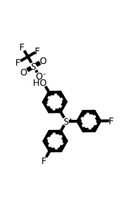 O=S(=O)([O-])C(F)(F)F.Oc1ccc([S+](c2ccc(F)cc2)c2ccc(F)cc2)cc1